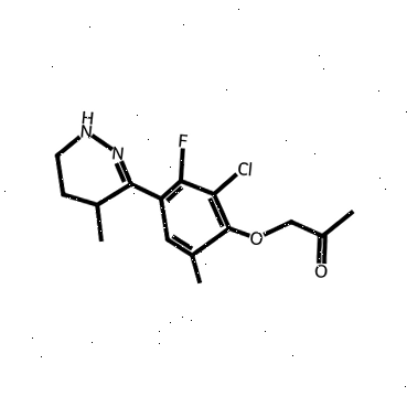 CC(=O)COc1c(C)cc(C2=NNCCC2C)c(F)c1Cl